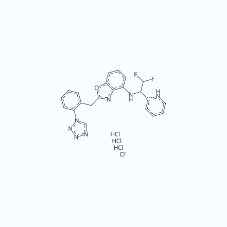 Cl.Cl.Cl.FC(F)C(Nc1cccc2oc(Cc3ccccc3-n3cnnn3)nc12)[c+]1cccc[nH]1.[Cl-]